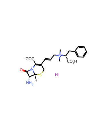 C[N+](C)(CC=CC1=C(C(=O)[O-])N2C(=O)[C@@H](N)[C@H]2SC1)[C@@H](Cc1ccccc1)C(=O)O.I